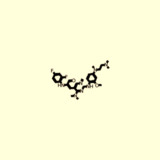 C=N/C=C(/C=C(\C=O)Nc1ccc(F)cc1F)C(=N/CNc1ccc(N(C)CCN(C)C)cc1OC)\N(C)C